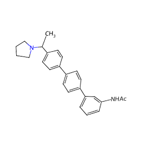 CC(=O)Nc1cccc(-c2ccc(-c3ccc(C(C)N4CCCC4)cc3)cc2)c1